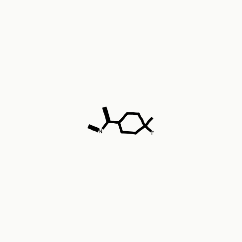 C=NC(=C)C1CCC(C)(F)CC1